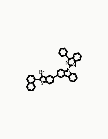 Brc1c(-c2cccc3ccccc23)sc2ccc(-c3ccc4c(c3)c3ccccc3n4-c3nc(-c4ccccc4)c4ccccc4n3)cc12